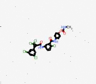 CNC(=O)Oc1ccc(NC(=O)c2cc(NC(=O)C3C(c4cc(Cl)cc(Cl)c4)C3(Cl)Cl)ccc2Cl)cc1